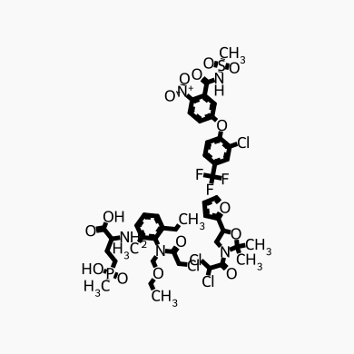 CC1(C)OC(c2ccco2)CN1C(=O)C(Cl)Cl.CCOCN(C(=O)CCl)c1c(C)cccc1CC.CP(=O)(O)CCC(N)C(=O)O.CS(=O)(=O)NC(=O)c1cc(Oc2ccc(C(F)(F)F)cc2Cl)ccc1[N+](=O)[O-]